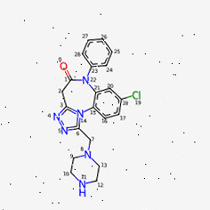 O=C1Cc2nnc(CN3CCNCC3)n2-c2ccc(Cl)cc2N1c1ccccc1